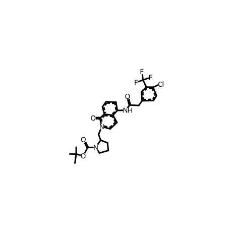 CC(C)(C)OC(=O)N1CCCC1Cn1ccc2c(NC(=O)Cc3ccc(Cl)c(C(F)(F)F)c3)cccc2c1=O